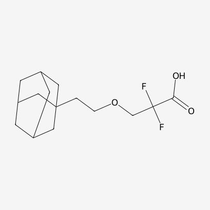 O=C(O)C(F)(F)COCCC12CC3CC(CC(C3)C1)C2